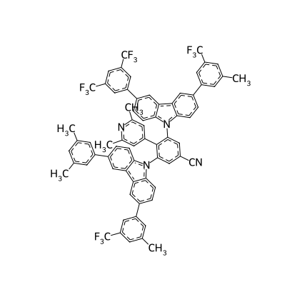 Cc1cc(C)cc(-c2ccc3c(c2)c2cc(-c4cc(C)cc(C(F)(F)F)c4)ccc2n3-c2cc(C#N)cc(-n3c4ccc(-c5cc(C)cc(C(F)(F)F)c5)cc4c4cc(-c5cc(C(F)(F)F)cc(C(F)(F)F)c5)ccc43)c2-c2cc(C)nc(C)c2)c1